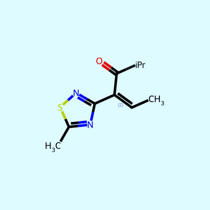 C/C=C(\C(=O)C(C)C)c1nsc(C)n1